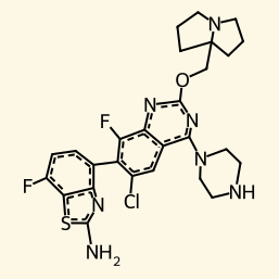 Nc1nc2c(-c3c(Cl)cc4c(N5CCNCC5)nc(OCC56CCCN5CCC6)nc4c3F)ccc(F)c2s1